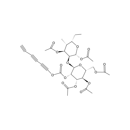 C#CC#CC#COC(=O)O[C@@H]1[C@@H](O[C@@H]2[C@@H](OC(C)=O)O[C@@H](CC)[C@@H](C)[C@@H]2OC(C)=O)O[C@H](COC(C)=O)[C@@H](OC(C)=O)[C@@H]1OC(C)=O